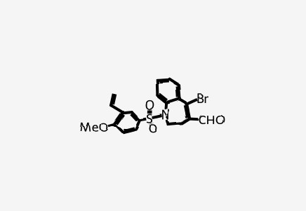 C=Cc1cc(S(=O)(=O)N2CCC(C=O)=C(Br)c3ccccc32)ccc1OC